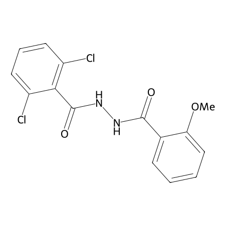 COc1ccccc1C(=O)NNC(=O)c1c(Cl)cccc1Cl